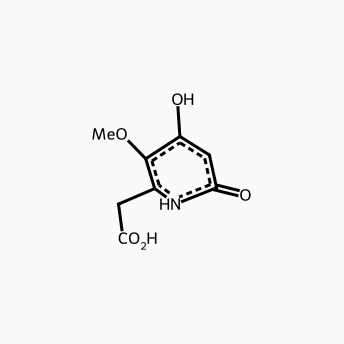 COc1c(O)cc(=O)[nH]c1CC(=O)O